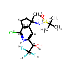 CC1(N[S+]([O-])C(C)(C)C)CCc2c1cc(C(O)C(F)(F)F)nc2Cl